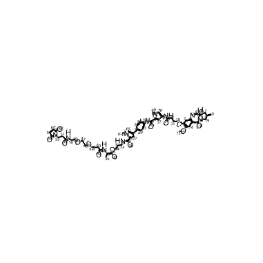 C=C1C[C@H]2C=Nc3cc(OCCCC(=O)Nc4cc(C(=O)Nc5ccc(-c6cc(C(=O)NCCCOC(=O)C(C)NC(=O)CCOCCOCCNC(=O)CCN7C(=O)C=CC7=O)n(C)c6)cc5)n(C)c4)c(OC)cc3C(=O)N2C1